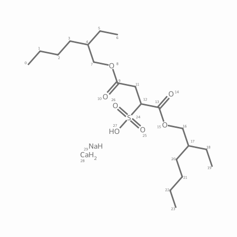 CCCCC(CC)COC(=O)CC(C(=O)OCC(CC)CCCC)S(=O)(=O)O.[CaH2].[NaH]